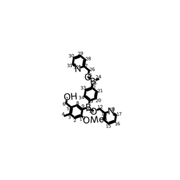 COc1cc(C)c(CO)cc1B(OCc1ccccn1)c1ccc(B(C)OCc2ccccn2)cc1